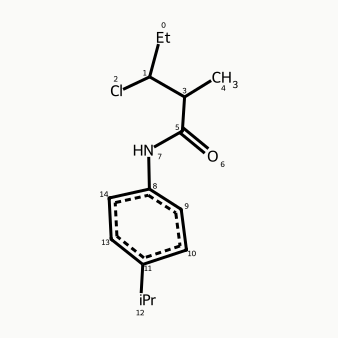 CCC(Cl)C(C)C(=O)Nc1ccc(C(C)C)cc1